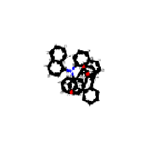 c1ccc2c(c1)-c1cccc3c1-c1cc(N(c4cccc5ccccc45)c4cccc5ccccc45)ccc1-c1cccc-3c1-2